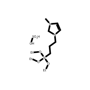 CCO[Si](CCCN1C=CN(C)C1)(OCC)OCC.O=S(=O)(O)O